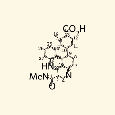 CNC(=O)c1cnc2ccc(-c3ccc(C(=O)O)c(C)c3)cc2c1Nc1ccccc1